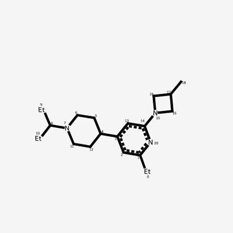 CCc1cc(C2CCN(C(CC)CC)CC2)cc(N2CC(C)C2)n1